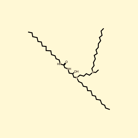 CCCCCCCCCCCCCCNC(=O)CNCC(O)CN(CCCCCCCCCCCCCC)CCCCN(CC)CCCCCCCCCCCCCC